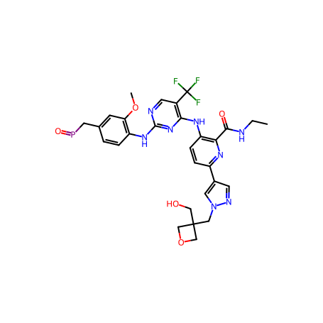 CCNC(=O)c1nc(-c2cnn(CC3(CO)COC3)c2)ccc1Nc1nc(Nc2ccc(CP=O)cc2OC)ncc1C(F)(F)F